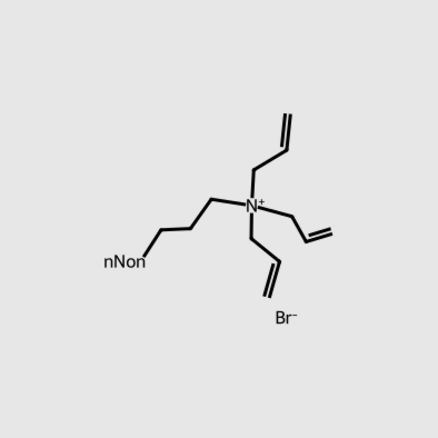 C=CC[N+](CC=C)(CC=C)CCCCCCCCCCCC.[Br-]